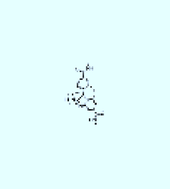 CNC(=O)c1ccc2c(c1)CCc1cc(C(=O)NC)ccc1C2(C[C@@H](C)N)C(N)=O